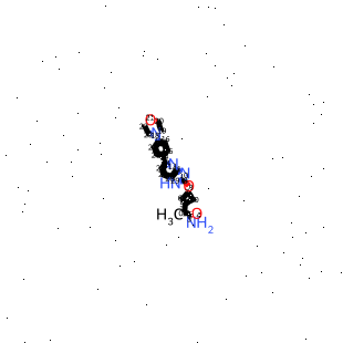 CC(C(N)=O)C1CC(Oc2nc3nc(-c4ccc(N5CCOCC5)cc4)ccc3[nH]2)C1